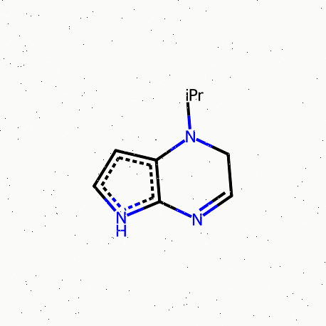 CC(C)N1CC=Nc2[nH]ccc21